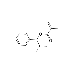 C=C(C)C(=O)OC(c1ccccc1)C(C)C